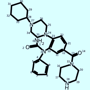 NC(=O)N(c1ccccc1)c1cc(C(=O)N2CCNCC2)ccc1N1CCN(C2CCCCC2)CC1